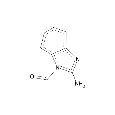 Nc1nc2ccccc2n1C=O